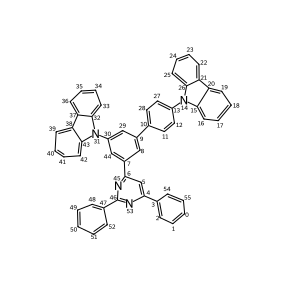 c1ccc(-c2cc(-c3cc(-c4ccc(-n5c6ccccc6c6ccccc65)cc4)cc(-n4c5ccccc5c5ccccc54)c3)nc(-c3ccccc3)n2)cc1